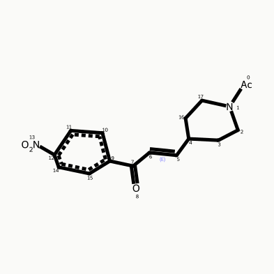 CC(=O)N1CCC(/C=C/C(=O)c2ccc([N+](=O)[O-])cc2)CC1